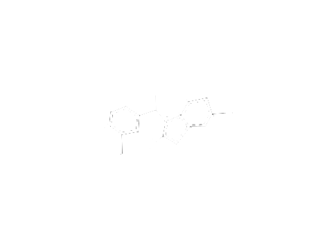 CCOC(=O)c1cc2cc(F)ccc2n1C(C)c1ccnc(C)c1